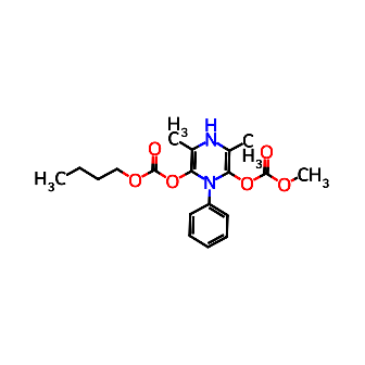 CCCCOC(=O)OC1=C(C)NC(C)=C(OC(=O)OC)N1c1ccccc1